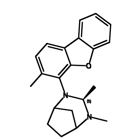 Cc1ccc2c(oc3ccccc32)c1N1C2CCC(C2)N(C)[C@@H]1C